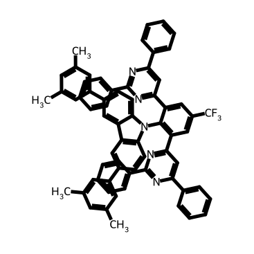 Cc1cc(C)cc(-c2ccc3c(c2)c2cc(-c4cc(C)cc(C)c4)ccc2n3-c2c(-c3cc(-c4ccccc4)nc(-c4ccccc4)n3)cc(C(F)(F)F)cc2-c2cc(-c3ccccc3)nc(-c3ccccc3)n2)c1